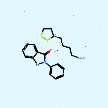 O=C(O)CCCC[C@@H]1CCSS1.O=c1c2ccccc2[se]n1-c1ccccc1